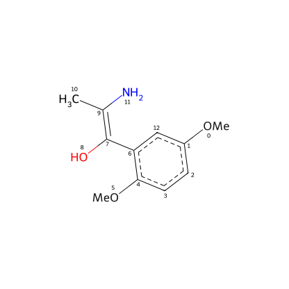 COc1ccc(OC)c(C(O)=C(C)N)c1